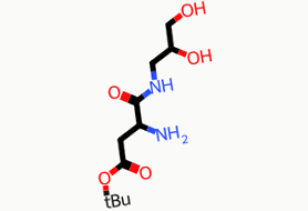 CC(C)(C)OC(=O)CC(N)C(=O)NCC(O)CO